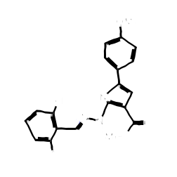 COC(=O)c1cc(-c2ccc(OC)cc2)[nH]c1N/N=C/c1c(Cl)cccc1Cl